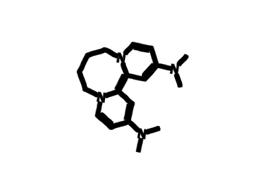 CN(C)C1=C/C2=C3\C=C(N(C)C)C=CN3CCCCN2C=C1